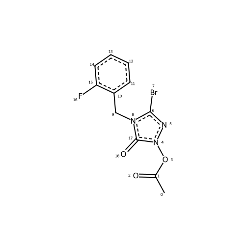 CC(=O)On1nc(Br)n(Cc2ccccc2F)c1=O